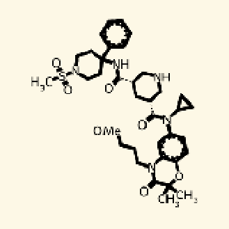 COCCCN1C(=O)C(C)(C)Oc2ccc(N(C(=O)[C@H]3CNC[C@@H](C(=O)NC4(c5ccccc5)CCN(S(C)(=O)=O)CC4)C3)C3CC3)cc21